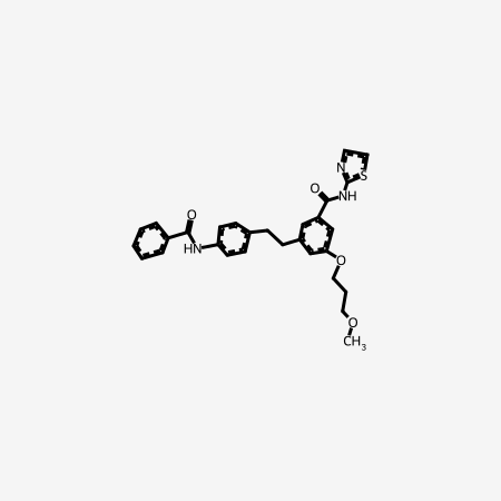 COCCCOc1cc(CCc2ccc(NC(=O)c3ccccc3)cc2)cc(C(=O)Nc2nccs2)c1